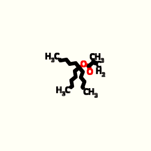 C=C(C)C(=O)OC(CCCCC)(CCCCC)CCCCC